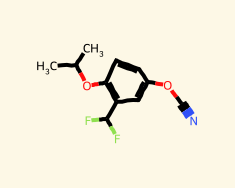 CC(C)Oc1ccc(OC#N)cc1C(F)F